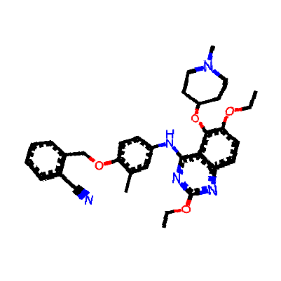 CCOc1nc(Nc2ccc(OCc3ccccc3C#N)c(C)c2)c2c(OC3CCN(C)CC3)c(OCC)ccc2n1